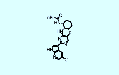 CCCC(=O)N[C@@H]1CCCC[C@@H]1Nc1nc(-c2c[nH]c3ncc(Cl)cc23)ncc1F